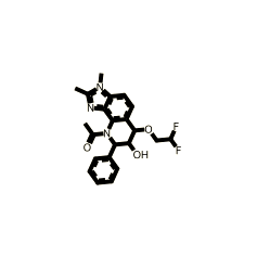 CC(=O)N1c2c(ccc3c2nc(C)n3C)C(OCC(F)F)C(O)C1c1ccccc1